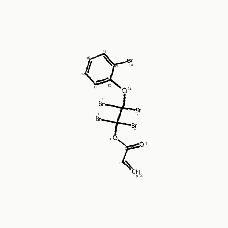 C=CC(=O)OC(Br)(Br)C(Br)(Br)Oc1ccccc1Br